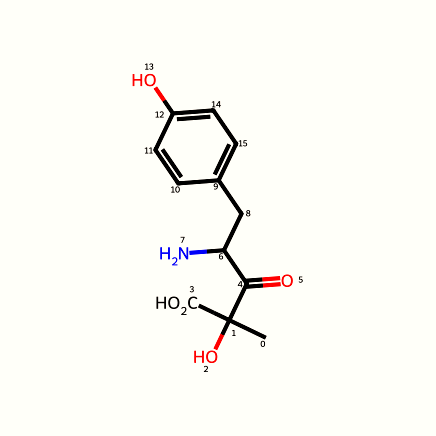 CC(O)(C(=O)O)C(=O)C(N)Cc1ccc(O)cc1